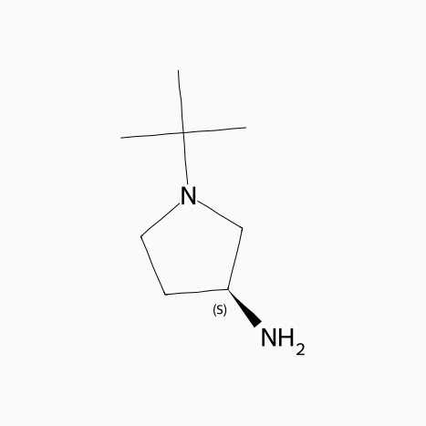 CC(C)(C)N1CC[C@H](N)C1